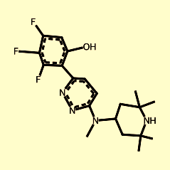 CN(c1ccc(-c2c(O)cc(F)c(F)c2F)nn1)C1CC(C)(C)NC(C)(C)C1